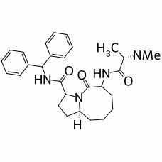 CN[C@@H](C)C(=O)NC1CCCC[C@H]2CCC(C(=O)NC(c3ccccc3)c3ccccc3)N2C1=O